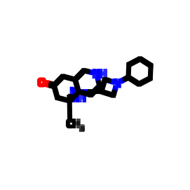 CC1NN(C2CN(C3CCCCC3)C2)C23CCNCC2CC(=O)CC13